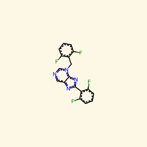 Fc1cccc(F)c1Cn1cncc2nc(-c3c(F)cccc3F)nc1-2